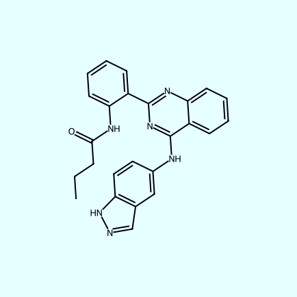 CCCC(=O)Nc1ccccc1-c1nc(Nc2ccc3[nH]ncc3c2)c2ccccc2n1